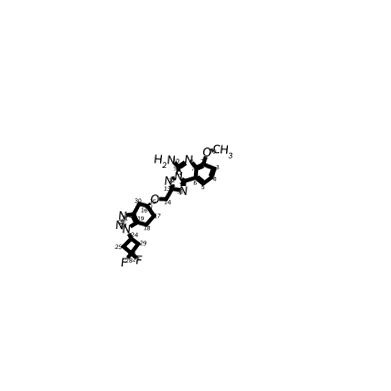 COc1cccc2c1nc(N)n1nc(CO[C@H]3CCc4c(nnn4C4CC(F)(F)C4)C3)nc21